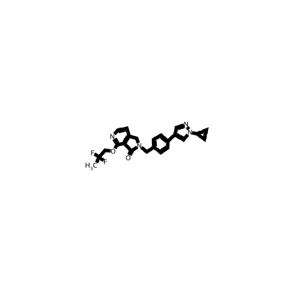 CC(F)(F)COc1nccc2c1C(=O)N(Cc1ccc(-c3cnn(C4CC4)c3)cc1)C2